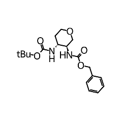 CC(C)(C)OC(=O)N[C@@H]1CCOC[C@H]1NC(=O)OCc1ccccc1